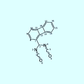 O=C=NC(N=C=O)c1cccc2c1-c1ccccc1-2